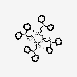 C[Si]1(CCP(c2ccccc2)c2ccccc2)O[Si](C)(CCP(c2ccccc2)c2ccccc2)O[Si](C)(CCP(c2ccccc2)c2ccccc2)O[Si](C)(CCP(c2ccccc2)c2ccccc2)O1